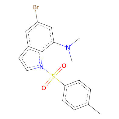 Cc1ccc(S(=O)(=O)n2ccc3cc(Br)cc(N(C)C)c32)cc1